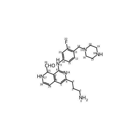 NCCCc1cc2c(c(Nc3ccc(CN4CCNCC4)c(F)c3)n1)C(C=O)NC=C2